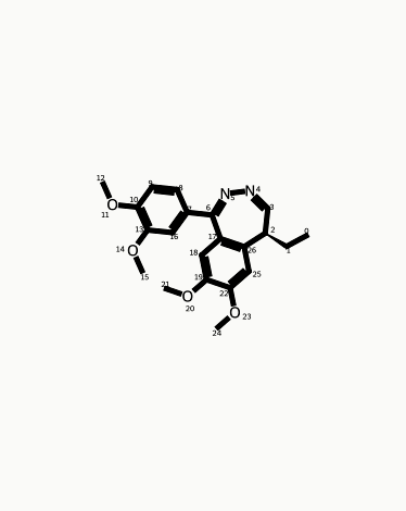 CC[C@@H]1C=NN=C(c2ccc(OC)c(OC)c2)c2cc(OC)c(OC)cc21